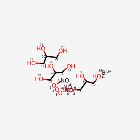 O=[N+]([O-])[O-].O=[N+]([O-])[O-].O=[N+]([O-])[O-].OCC(O)CO.OCC(O)CO.OCC(O)CO.[Bi+3]